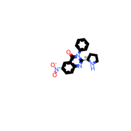 O=c1c2cc([N+](=O)[O-])ccc2nc([C@@H]2CCCN2)n1-c1ccccc1